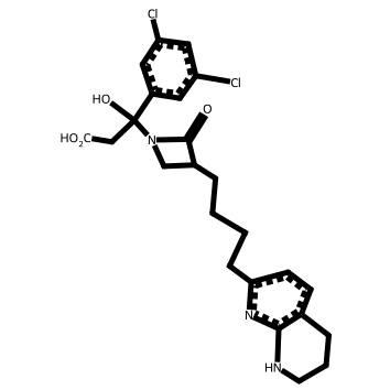 O=C(O)CC(O)(c1cc(Cl)cc(Cl)c1)N1CC(CCCCc2ccc3c(n2)NCCC3)C1=O